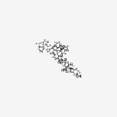 CC(C)c1ccccc1[C@@H]1CCCN1C1CC2(CCN(c3ccc(C(=O)NS(=O)(=O)c4cc5c(c([N+](=O)[O-])c4)N[C@@H]([C@H]4CC[C@](C)(O)CC4)CO5)c(Oc4cc5cc[nH]c5nc4OC[C@@H]4COCCN4C)c3)CC2)C1